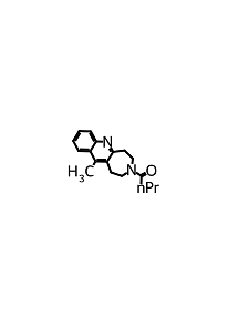 CCCC(=O)N1CCc2nc3ccccc3c(C)c2CC1